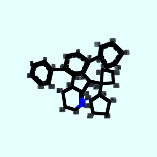 c1ccc(-c2ccc(-c3ccccc3)c3c2C2CCCN=C2C3C2(C3CCCC3)CCC2)cc1